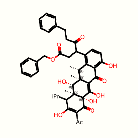 CC(=O)C1=C(O)C(C(C)C)[C@@]2(C)[C@H](O)[C@]3(C)C(=C(O)[C@@]2(O)C1=O)C(=O)c1c(O)ccc(C(CC(=O)OCc2ccccc2)C(=O)CCc2ccccc2)c1[C@H]3C